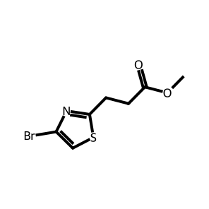 COC(=O)CCc1nc(Br)cs1